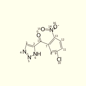 O=C(c1cnn[nH]1)c1cc(Cl)ccc1[N+](=O)[O-]